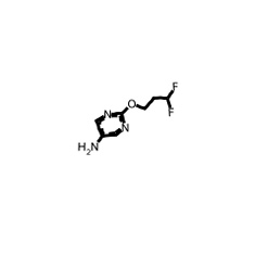 Nc1cnc(OCCC(F)F)nc1